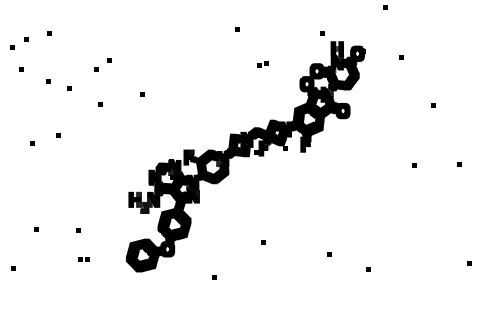 Nc1ncnc2c1c(-c1ccc(Oc3ccccc3)cc1)nn2[C@H]1CCN(C2CN(CC3(F)CN(c4cc5c(cc4F)C(=O)N(C4CCC(=O)NC4=O)C5=O)C3)C2)C[C@H]1F